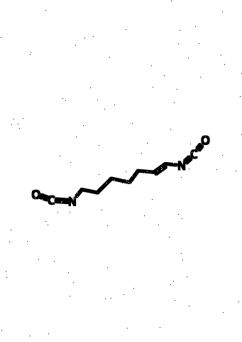 O=C=NC=CCCCCCN=C=O